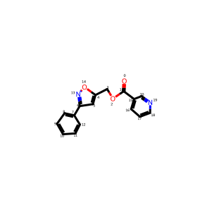 O=C(OCc1cc(-c2ccccc2)no1)c1cccnc1